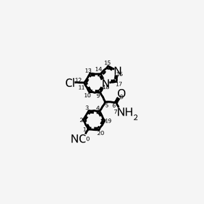 N#Cc1ccc(C(C(N)=O)c2cc(Cl)cc3cncn23)cc1